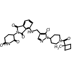 CC1(C(=O)N2CCC(n3ncc(CNc4cccc5c4C(=O)N(C4CCC(=O)NC4=O)C5=O)c3Cl)CC2)CCC1